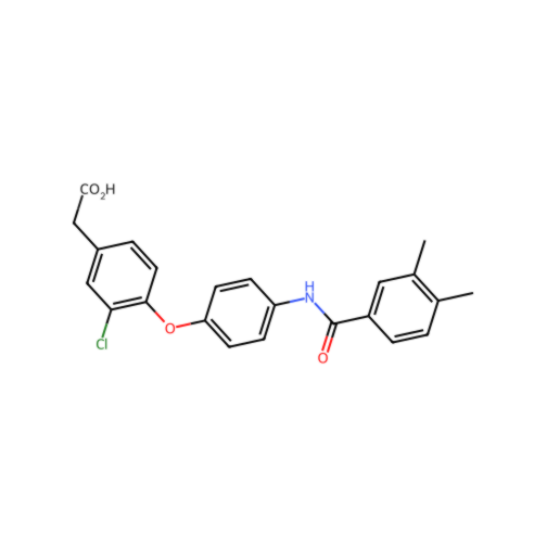 Cc1ccc(C(=O)Nc2ccc(Oc3ccc(CC(=O)O)cc3Cl)cc2)cc1C